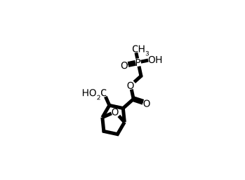 CP(=O)(O)COC(=O)C1C2CCC(O2)C1C(=O)O